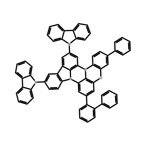 c1ccc(-c2ccc3c(c2)Oc2cc(-c4ccccc4-c4ccccc4)cc4c2B3c2cc(-n3c5ccccc5c5ccccc53)cc3c5cc(-n6c7ccccc7c7ccccc76)ccc5n-4c23)cc1